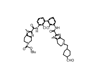 Cn1c(C(=O)Nc2cccc(-c3cccc(NC(=O)c4nc5c(n4C)CCN(C(=O)OC(C)(C)C)C5)c3Cl)c2Cl)nc2c1CCN(CC1CCC(C=O)CC1)C2